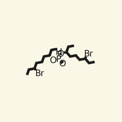 CCC(Br)CCCC(CC)O[PH](=O)OC(CC)CCCC(Br)CC